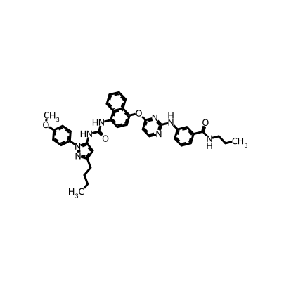 CCCCc1cc(NC(=O)Nc2ccc(Oc3ccnc(Nc4cccc(C(=O)NCCC)c4)n3)c3ccccc23)n(-c2ccc(OC)cc2)n1